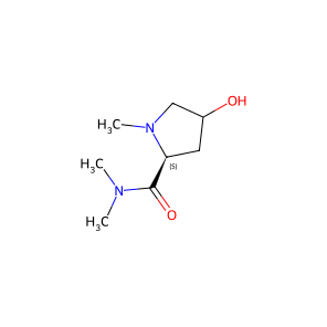 CN(C)C(=O)[C@@H]1CC(O)CN1C